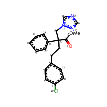 COC(=O)C(CCc1ccc(Cl)cc1)(Cn1cncn1)c1ccccc1